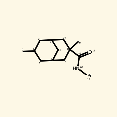 CC1CC2CC(C1)CC(C)(C(=O)NC(C)C)C2